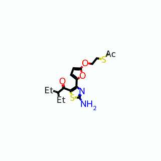 CCC(CC)C(=O)c1sc(N)nc1-c1ccc(OCCSC(C)=O)o1